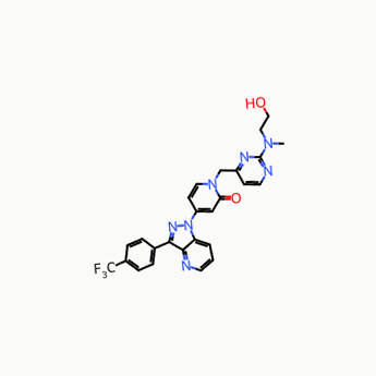 CN(CCO)c1nccc(Cn2ccc(-n3nc(-c4ccc(C(F)(F)F)cc4)c4ncccc43)cc2=O)n1